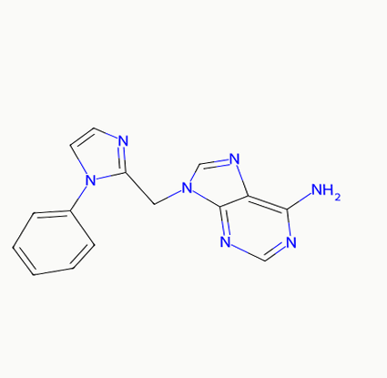 Nc1ncnc2c1ncn2Cc1nccn1-c1ccccc1